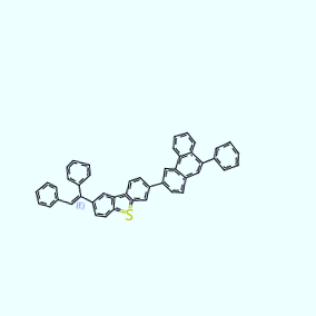 C(=C(/c1ccccc1)c1ccc2sc3cc(-c4ccc5cc(-c6ccccc6)c6ccccc6c5c4)ccc3c2c1)/c1ccccc1